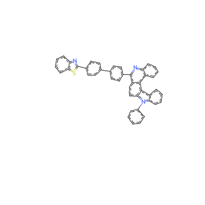 c1ccc(-n2c3ccccc3c3c4c(ccc32)c(-c2ccc(-c3ccc(-c5nc6ccccc6s5)cc3)cc2)nc2ccccc24)cc1